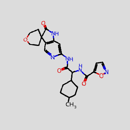 CC1CCC(C(NC(=O)c2ccno2)C(=O)Nc2cc3c(cn2)C2(CCOCC2)C(=O)N3)CC1